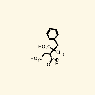 CC(Cc1ccccc1)(C(=O)O)C(CC(=O)O)[PH](=O)O